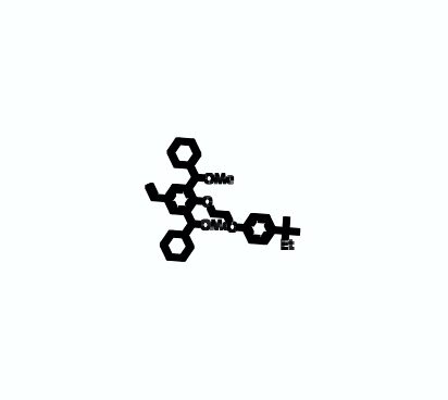 C=Cc1cc(C(OC)C2CCCCC2)c(OCCOc2ccc(C(C)(C)CC)cc2)c(C(OC)C2CCCCC2)c1